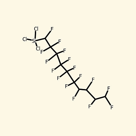 FC(F)C(F)C(F)C(F)C(F)(F)C(F)(F)C(F)(F)C(F)(F)C(F)(F)C(F)[Si](Cl)(Cl)Cl